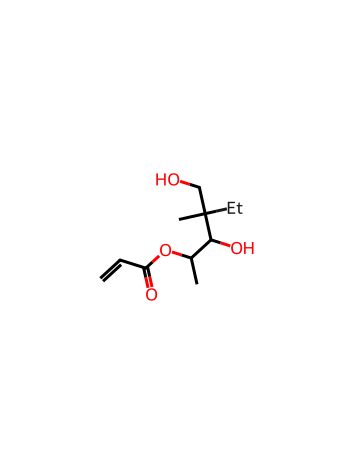 C=CC(=O)OC(C)C(O)C(C)(CC)CO